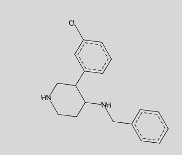 Clc1cccc(C2CNCCC2NCc2ccccc2)c1